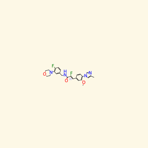 COc1cc(/C=C(\F)C(=O)NCc2ccc(F)c(N3CCOCC3)c2)ccc1-n1cnc(C)c1